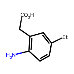 CCc1ccc(N)c(CC(=O)O)c1